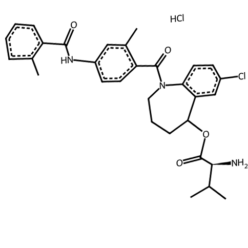 Cc1ccccc1C(=O)Nc1ccc(C(=O)N2CCCC(OC(=O)[C@@H](N)C(C)C)c3cc(Cl)ccc32)c(C)c1.Cl